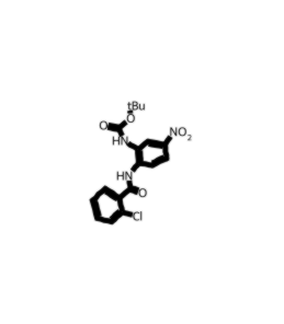 CC(C)(C)OC(=O)Nc1cc([N+](=O)[O-])ccc1NC(=O)c1ccccc1Cl